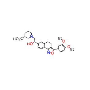 CCOc1ccc(-c2onc3c2CCc2cc(C(O)CN4CCCC(C(=O)O)C4)ccc2-3)cc1OCC